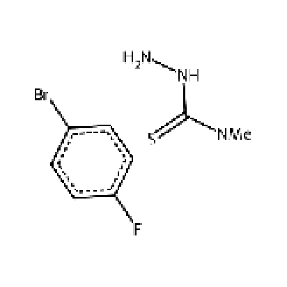 CNC(=S)NN.Fc1ccc(Br)cc1